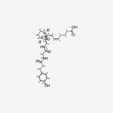 O=C(O)CCC/C=C\C[C@H]1[C@@H](CNC(=O)CNC(=O)CCc2ccc(O)cc2)[C@H]2CC[C@@H]1C2=O